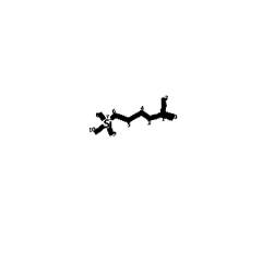 C=C(C)CCCC[Si](C)(C)C